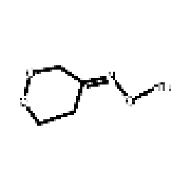 CC(C)(C)ON=C1CCOOC1